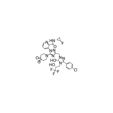 O=C(N[C@@H]1C[C@H]1F)c1ncccc1-n1nc(CN2N=C(c3ccc(Cl)cc3)N(C[C@@H](O)C(F)(F)F)C2O)nc1N1CCS(=O)(=O)CC1